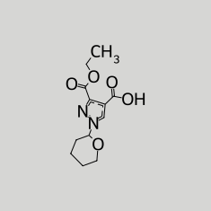 CCOC(=O)c1nn(C2CCCCO2)cc1C(=O)O